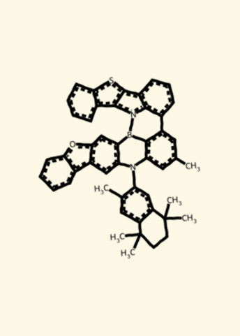 Cc1cc2c3c(c1)N(c1cc4c(cc1C)C(C)(C)CCC4(C)C)c1cc4c(cc1B3n1c3c-2cccc3c2sc3ccccc3c21)oc1ccccc14